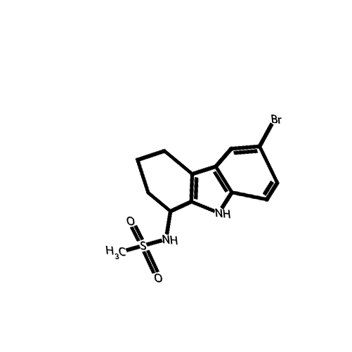 CS(=O)(=O)NC1CCCc2c1[nH]c1ccc(Br)cc21